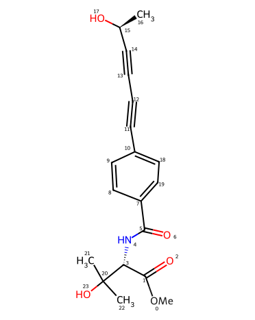 COC(=O)[C@@H](NC(=O)c1ccc(C#CC#C[C@H](C)O)cc1)C(C)(C)O